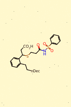 CCCCCCCCCCCCc1ccccc1C(CC(=O)O)SCCC(=O)NS(=O)(=O)c1ccccc1